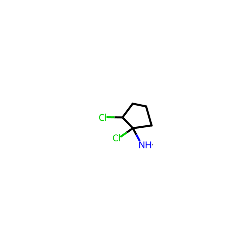 [NH]C1(Cl)CCCC1Cl